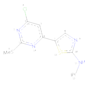 CSc1nc(Cl)cc(-c2cnc(NC(C)C)s2)n1